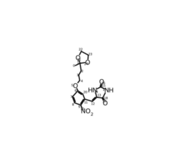 CC1(CCCOc2ccc([N+](=O)[O-])c(C=C3NC(=O)NC3=O)c2)OCCO1